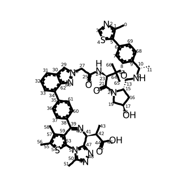 Cc1ncsc1-c1ccc([C@H](C)NC(=O)[C@@H]2C[C@@H](O)CN2C(=O)[C@@H](NC(=O)Cn2cc3cccc(-c4ccc(C5=N[C@@H](C(C)C(=O)O)c6nnc(C)n6-c6sc(C)c(C)c65)cc4)c3n2)C(C)(C)C)cc1